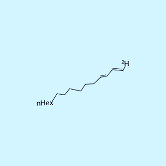 [2H]/C=C/C=CCCCCCCCCCCCC